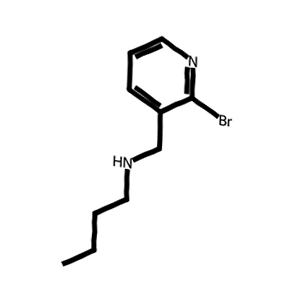 CCCCNCc1cccnc1Br